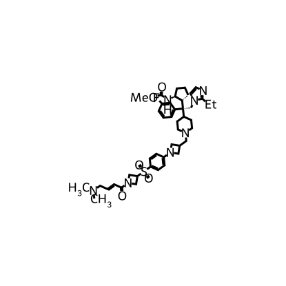 CCc1nccn1C[C@@](c1cccc(F)c1)(C1CCN(CC2CN(c3ccc(S(=O)(=O)C4CN(C(=O)/C=C/CN(C)C)C4)cc3)C2)CC1)[C@H]1CCC[C@@H]1NC(=O)OC